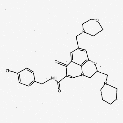 O=C(NCc1ccc(Cl)cc1)c1cn2c3c(cc(CN4CCOCC4)cc3c1=O)OC(CN1CCCCC1)C2